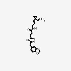 C=CC1(/C=C/CNC(=O)CCc2nnc(Cc3ccc4c(c3)OCO4)[nH]2)CC1